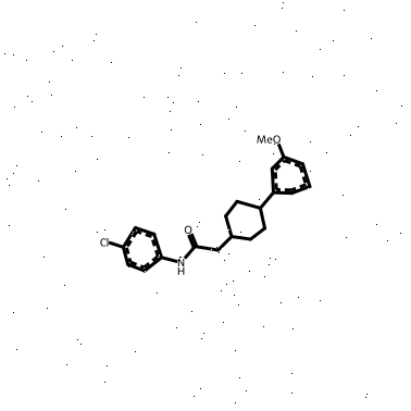 COc1cccc(C2CCC(CC(=O)Nc3ccc(Cl)cc3)CC2)c1